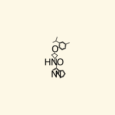 Cc1ccc(O[C@H]2C[C@H](NC(=O)c3cnn4ccccc34)C2)c(C(C)C)c1